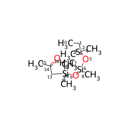 CC[Si](C)(C)O[Si](C)(C)O[Si](C)(C)CC(C)=O